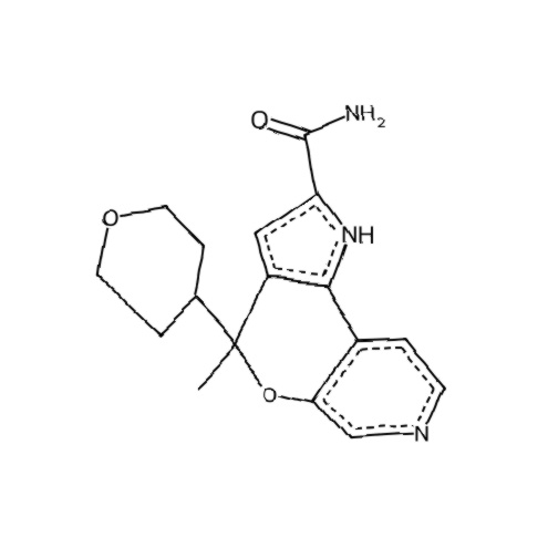 CC1(C2CCOCC2)Oc2cnccc2-c2[nH]c(C(N)=O)cc21